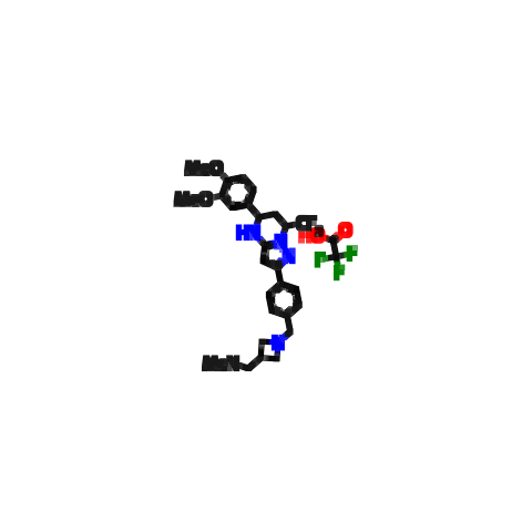 CNCC1CN(Cc2ccc(-c3cc4n(n3)C(C(F)(F)F)CC(c3ccc(OC)c(OC)c3)N4)cc2)C1.O=C(O)C(F)(F)F